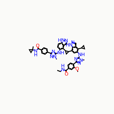 CCNC(=O)c1ccc(-c2nc(Nc3cc(C4CC4c4c(Nc5nc(-c6ccc(C(=O)NC7(C)CC7)cc6)nn5C)ccc5[nH]ncc45)c4[nH]ncc4c3C3CC3)n(C)n2)c(OC)c1